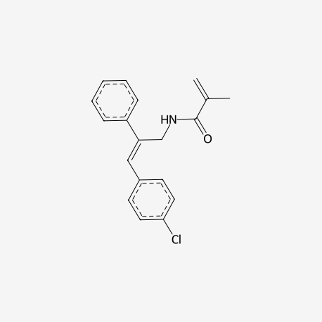 C=C(C)C(=O)NCC(=Cc1ccc(Cl)cc1)c1ccccc1